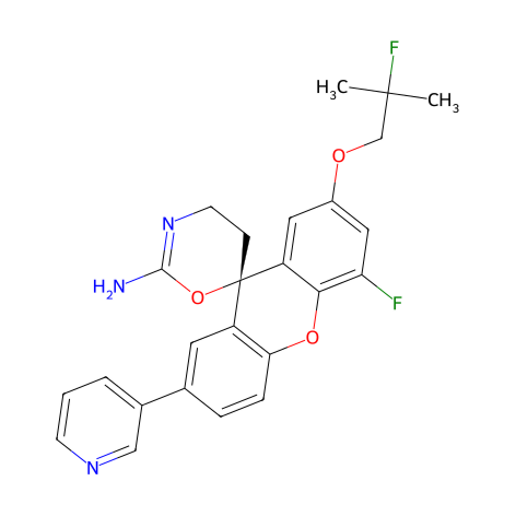 CC(C)(F)COc1cc(F)c2c(c1)[C@]1(CCN=C(N)O1)c1cc(-c3cccnc3)ccc1O2